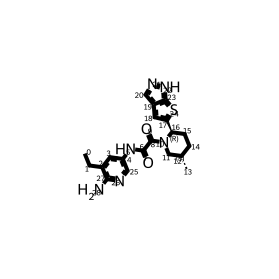 CCc1cc(NC(=O)C(=O)N2C[C@@H](C)CC[C@@H]2c2cc3cn[nH]c3s2)cnc1N